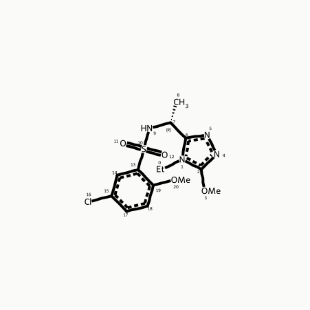 CCn1c(OC)nnc1[C@@H](C)NS(=O)(=O)c1cc(Cl)ccc1OC